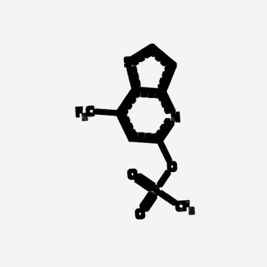 O=S(=O)(Oc1cc(C(F)(F)F)c2sccc2n1)C(F)(F)F